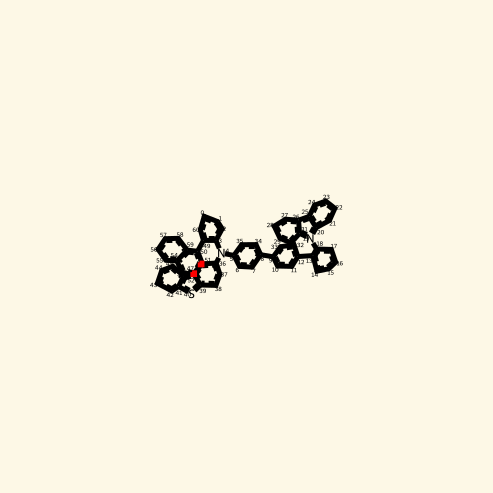 c1ccc(N(c2ccc(-c3ccc(-c4ccccc4-n4c5ccccc5c5ccccc54)cc3)cc2)c2ccc3sc4ccccc4c3c2)c(-c2cccc3ccccc23)c1